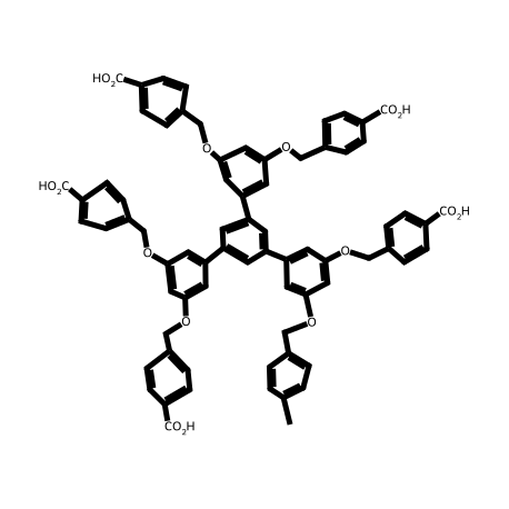 Cc1ccc(COc2cc(OCc3ccc(C(=O)O)cc3)cc(-c3cc(-c4cc(OCc5ccc(C(=O)O)cc5)cc(OCc5ccc(C(=O)O)cc5)c4)cc(-c4cc(OCc5ccc(C(=O)O)cc5)cc(OCc5ccc(C(=O)O)cc5)c4)c3)c2)cc1